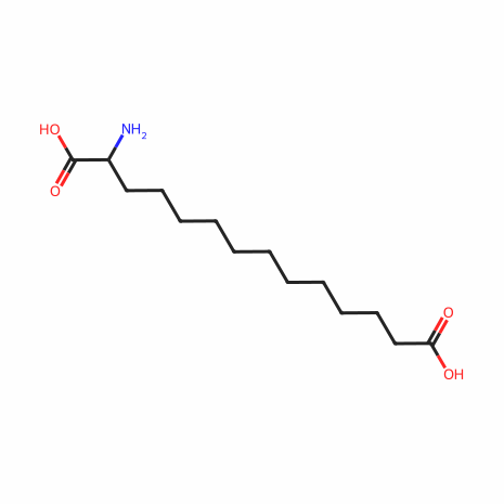 NC(CCCCCCCCCCCC(=O)O)C(=O)O